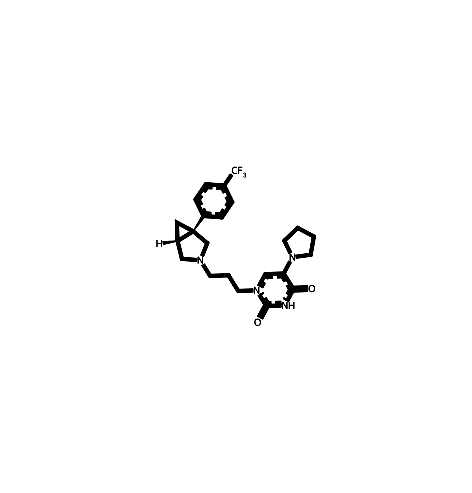 O=c1[nH]c(=O)n(CCCN2C[C@@H]3C[C@]3(c3ccc(C(F)(F)F)cc3)C2)cc1N1CCCC1